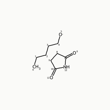 CCCCC[O].O=C1CCC(=O)N1